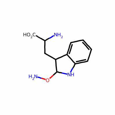 NOC1Nc2ccccc2C1CC(N)C(=O)O